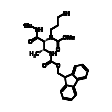 COC(=O)N(CCCS)[C@@H](C(=O)NC(C)(C)C)[C@@H](C)NC(=O)OCC1c2ccccc2-c2ccccc21